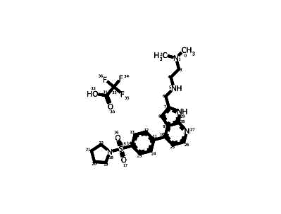 CN(C)CCNCc1cc2c(-c3ccc(S(=O)(=O)N4CCCC4)cc3)ccnc2[nH]1.O=C(O)C(F)(F)F